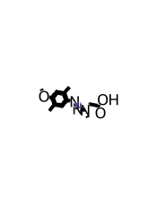 COc1cc(C)c(/N=N/N(C)CC(=O)O)cc1C